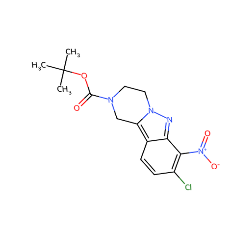 CC(C)(C)OC(=O)N1CCn2nc3c([N+](=O)[O-])c(Cl)ccc3c2C1